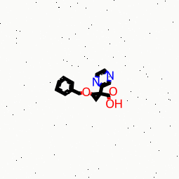 O=C(O)C1(c2cnccn2)CC1OCc1ccccc1